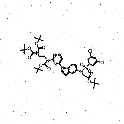 CC(C)(C)OC(=O)CN(c1ccc2c(ccn2-c2ccnc(N(CCN(C(=O)OC(C)(C)C)C(=O)OC(C)(C)C)C(=O)OC(C)(C)C)n2)c1)S(=O)(=O)C1C=C(Cl)C=C(Cl)C1